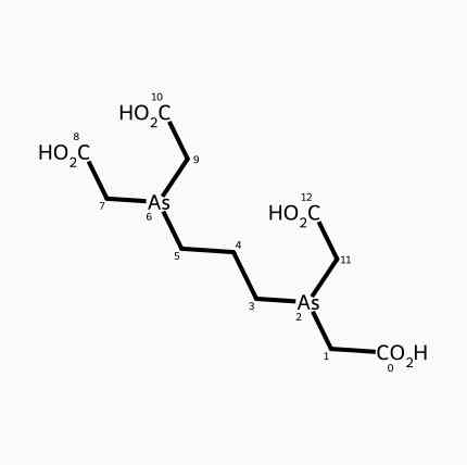 O=C(O)C[As](CCC[As](CC(=O)O)CC(=O)O)CC(=O)O